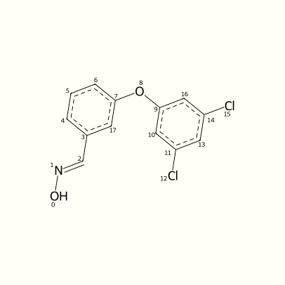 ON=Cc1cccc(Oc2cc(Cl)cc(Cl)c2)c1